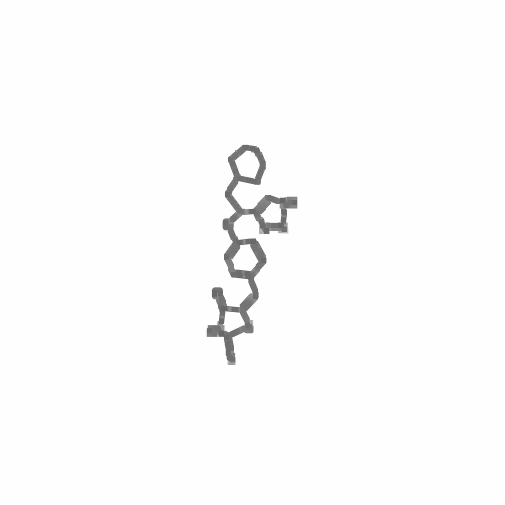 O=C1NC(=S)SC1=Cc1ccc(OC(CC2CCCCC2)c2c[nH]nn2)cc1